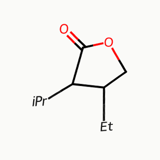 CCC1COC(=O)C1C(C)C